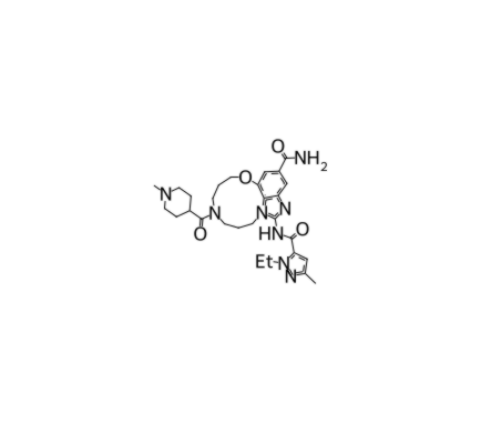 CCn1nc(C)cc1C(=O)Nc1nc2cc(C(N)=O)cc3c2n1CCCN(C(=O)C1CCN(C)CC1)CCCO3